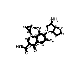 COc1c(N2CC(N)C3OCCC32)c(F)cc2c(=O)c(C(=O)O)cn(C3CC3)c12